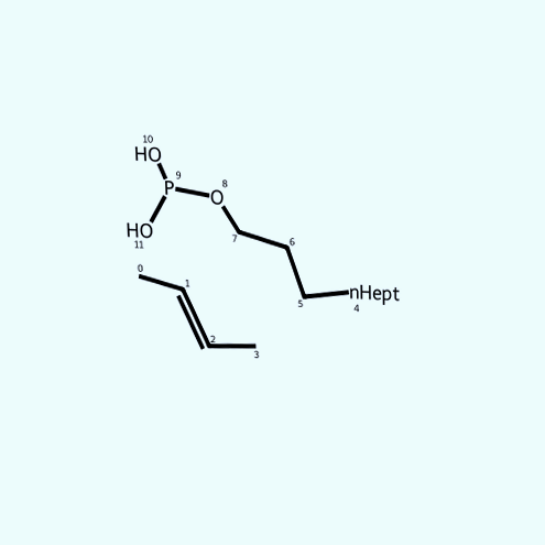 C/C=C/C.CCCCCCCCCCOP(O)O